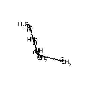 C=CC(CCC(=O)NCCCCCOCC(=O)NCCCCCCCC(=O)Oc1ccc(C)cc1)NC(=O)CCCCCCCCCCCCCCCCC(C)=O